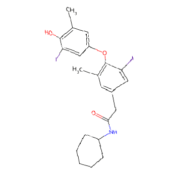 Cc1cc(Oc2c(C)cc(CC(=O)NC3CCCCC3)cc2I)cc(I)c1O